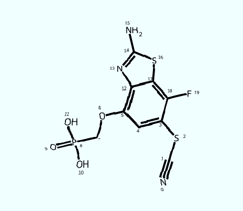 N#CSc1cc(OCP(=O)(O)O)c2nc(N)sc2c1F